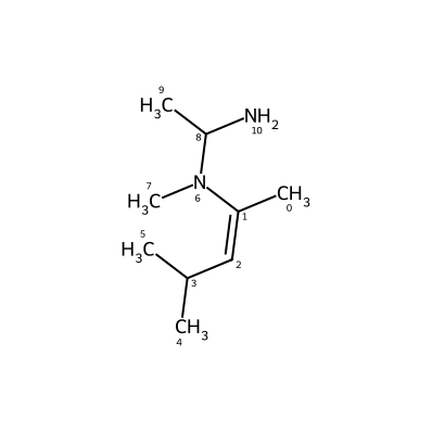 C/C(=C/C(C)C)N(C)C(C)N